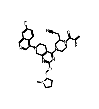 C=C(F)C(=O)N1CCN(c2nc(OC[C@@H]3CCCN3C)nc3c2CCN(c2cncc4cc(F)ccc24)C3)CC1CC#N